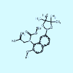 C=C(C#N)CN(C(=O)OC(C)(C)C)c1c(OCC)ccc2ccc(B3OC(C)(C)C(C)(C)O3)cc12